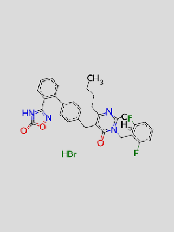 Br.CCCCc1nc(C)n(Cc2c(F)cccc2F)c(=O)c1Cc1ccc(-c2ccccc2-c2noc(=O)[nH]2)cc1